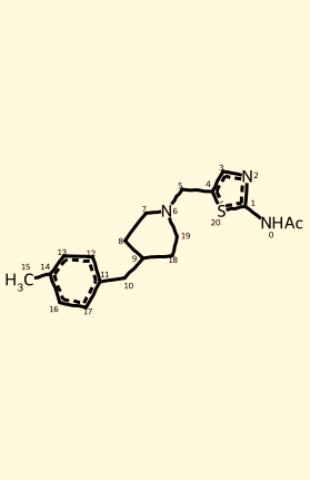 CC(=O)Nc1ncc(CN2CCC(Cc3ccc(C)cc3)CC2)s1